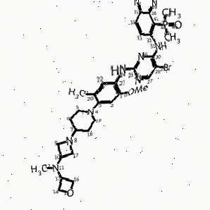 COc1cc(N2CCC(N3CC(N(C)C4COC4)C3)CC2)c(C)cc1Nc1ncc(Br)c(Nc2ccc3nccnc3c2P(C)(C)=O)n1